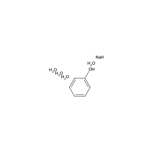 O.O.O.O.Oc1ccccc1.[NaH]